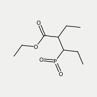 CCOC(=O)C(CC)C(CC)P(=O)=O